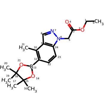 CCOC(=O)Cn1ncc2c(C)c(B3OC(C)(C)C(C)(C)O3)ccc21